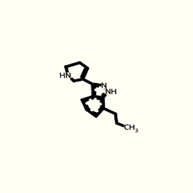 CCCc1cccc2c(C3=CCCNC3)n[nH]c12